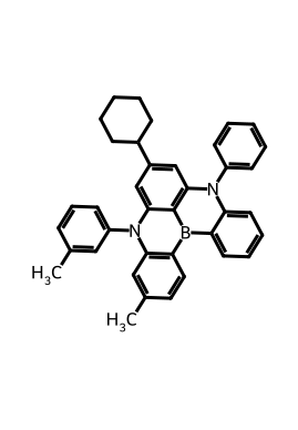 Cc1cccc(N2c3cc(C)ccc3B3c4ccccc4N(c4ccccc4)c4cc(C5CCCCC5)cc2c43)c1